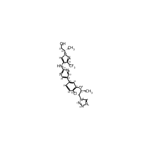 C[C@@H](Cn1cnnn1)Oc1cc(-c2cnc(Nc3cn([C@@H](C)CO)nc3C(F)(F)F)nc2)ccc1Cl